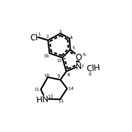 Cl.Clc1ccc2onc(C3CCNCC3)c2c1